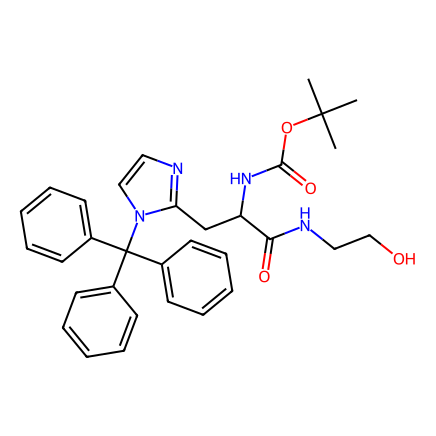 CC(C)(C)OC(=O)NC(Cc1nccn1C(c1ccccc1)(c1ccccc1)c1ccccc1)C(=O)NCCO